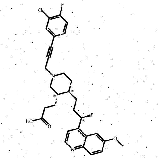 COc1ccc2nccc([C@H](F)CC[C@@H]3CCN(CC#Cc4ccc(F)c(Cl)c4)C[C@H]3CCC(=O)O)c2c1